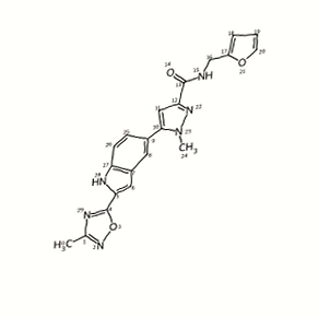 Cc1noc(-c2cc3cc(-c4cc(C(=O)NCc5ccco5)nn4C)ccc3[nH]2)n1